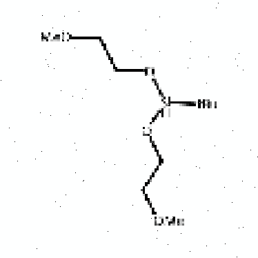 COCCO[SiH](OCCOC)C(C)(C)C